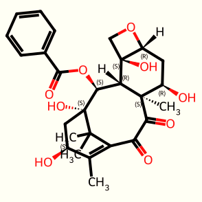 CC1=C2C(=O)C(=O)[C@]3(C)[C@H](O)C[C@H]4OC[C@@]4(O)[C@H]3[C@H](OC(=O)c3ccccc3)[C@](O)(C[C@@H]1O)C2(C)C